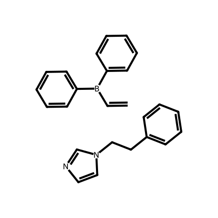 C=CB(c1ccccc1)c1ccccc1.c1ccc(CCn2ccnc2)cc1